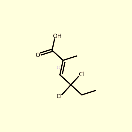 CCC(Cl)(Cl)/C=C(\C)C(=O)O